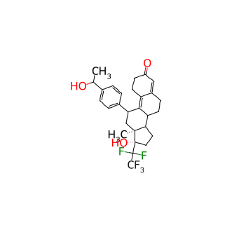 CC(O)c1ccc(C2C[C@@]3(C)C(CC[C@@]3(O)C(F)(F)C(F)(F)F)C3CCC4=CC(=O)CCC4=C23)cc1